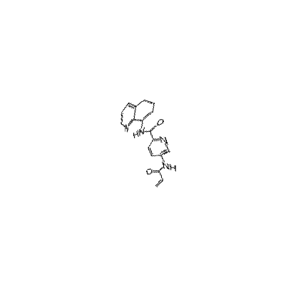 C=CC(=O)Nc1ccc(C(=O)Nc2cccc3cccnc23)nc1